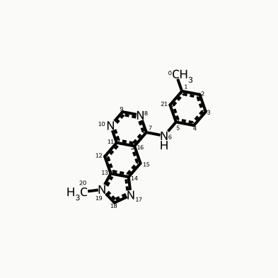 Cc1cccc(Nc2ncnc3cc4c(cc23)ncn4C)c1